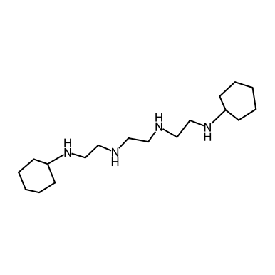 C1CCC(NCCNCCNCCNC2CCCCC2)CC1